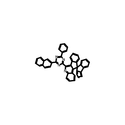 c1ccc(-c2nc(-c3ccc4ccccc4c3)nc(-c3nc4ccccc4c4c3-c3ccccc3C43c4ccccc4-c4ccccc43)n2)cc1